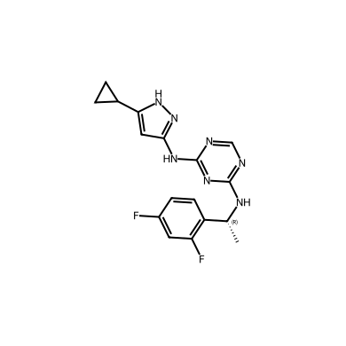 C[C@@H](Nc1ncnc(Nc2cc(C3CC3)[nH]n2)n1)c1ccc(F)cc1F